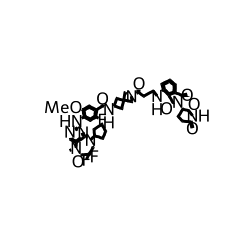 COc1cc(C(=O)NC2CC3(C2)CN(C(=O)CCNc2cccc4c2C(=O)N(C2CCC(=O)NC2=O)C4=O)C3)c(F)cc1Nc1ncc2c(n1)N(C1CCCC1)CC(F)(F)C(=O)N2C